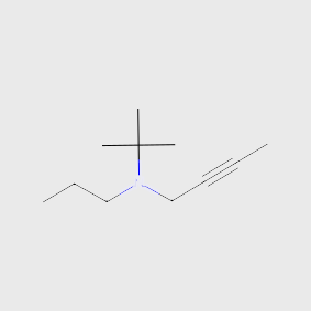 CC#CCN(CCC)C(C)(C)C